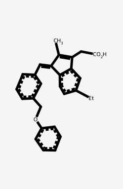 CCc1ccc2c(c1)C(CC(=O)O)=C(C)/C2=C/c1cccc(COc2ccccc2)c1